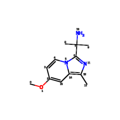 COc1ccn2c(C(C)(C)N)nc(C)c2c1